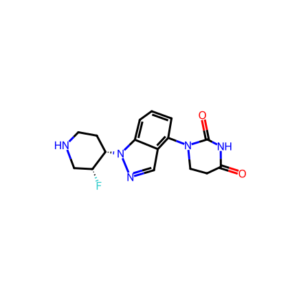 O=C1CCN(c2cccc3c2cnn3[C@H]2CCNC[C@H]2F)C(=O)N1